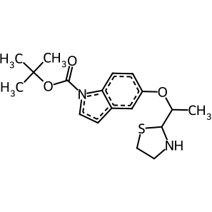 CC(Oc1ccc2c(ccn2C(=O)OC(C)(C)C)c1)C1NCCS1